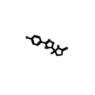 CC1(C2NC(c3ccc(F)cc3)=NO2)CCC(=O)N1